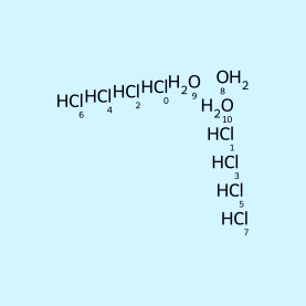 Cl.Cl.Cl.Cl.Cl.Cl.Cl.Cl.O.O.O